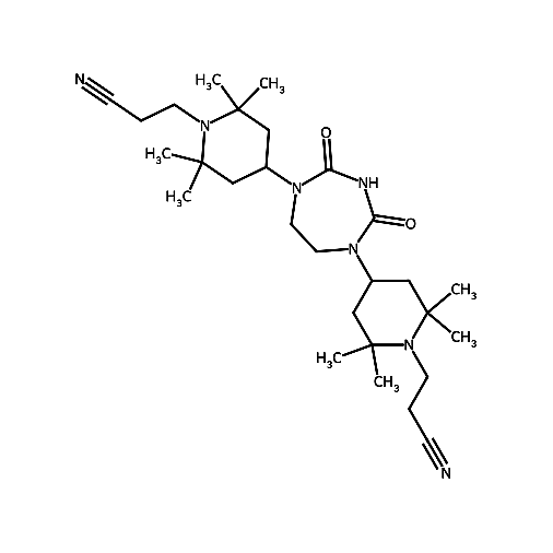 CC1(C)CC(N2CCN(C3CC(C)(C)N(CCC#N)C(C)(C)C3)C(=O)NC2=O)CC(C)(C)N1CCC#N